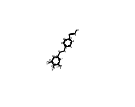 C/C=C/c1ccc(CCc2cc(F)c(F)c(F)c2)cc1